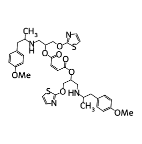 COc1ccc(CC(C)NCC(COc2nccs2)OC(=O)/C=C\C(=O)OC(CNC(C)Cc2ccc(OC)cc2)COc2nccs2)cc1